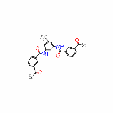 CCC(=O)c1cccc(C(=O)Nc2cc(NC(=O)c3cccc(C(=O)CC)c3)cc(C(F)(F)F)c2)c1